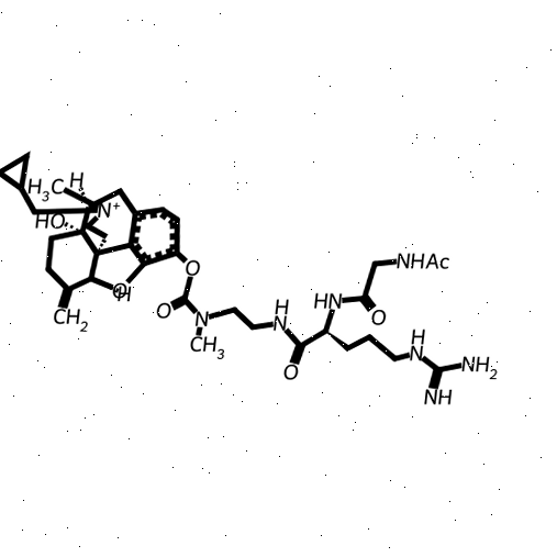 C=C1CC[C@@]2(O)[C@H]3Cc4ccc(OC(=O)N(C)CCNC(=O)[C@H](CCCNC(=N)N)NC(=O)CNC(C)=O)c5c4[C@@]2(CC[N+]3(C)CC2CC2)[C@H]1O5